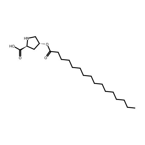 CCCCCCCCCCCCCCCC(=O)O[C@H]1CN[C@H](C(=O)O)C1